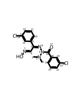 CN(C)N(N=C(C=NO)c1cccc(Cl)c1)C(=O)c1cccc(Cl)c1